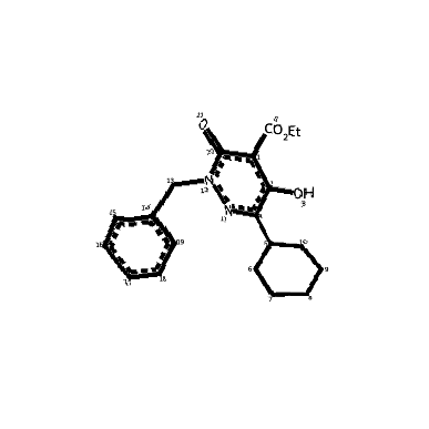 CCOC(=O)c1c(O)c(C2CCCCC2)nn(Cc2ccccc2)c1=O